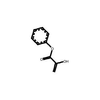 C=C(O)C(=O)Oc1ccccc1